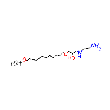 CCCCCCCCOCCCCCCCCCCOCC(O)CNCCN